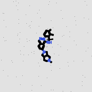 Cc1cccc([C@@H](C)Nc2nncc3ccc(N4CC5CCN(C)CC5C4)cc23)c1C